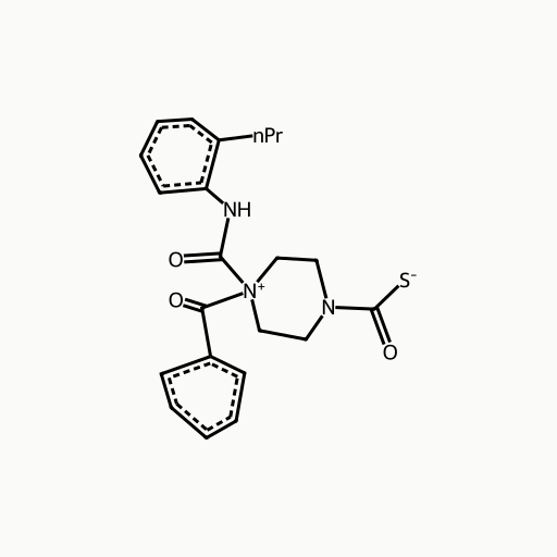 CCCc1ccccc1NC(=O)[N+]1(C(=O)c2ccccc2)CCN(C(=O)[S-])CC1